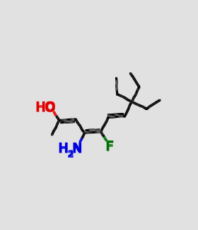 CCC(/C=C/C(F)=C(N)\C=C(/C)O)(CC)CC